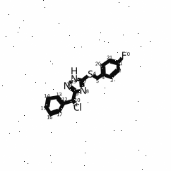 Fc1ccc(CSc2nc(C(Cl)c3ccccc3)n[nH]2)cc1